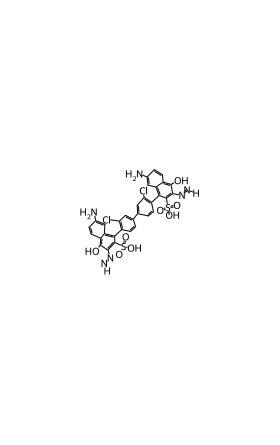 [H]/N=N/c1c(S(=O)(=O)O)c(-c2ccc(-c3ccc(-c4c(S(=O)(=O)O)c(/N=N/[H])c(O)c5ccc(N)cc45)c(Cl)c3)cc2Cl)c2cc(N)ccc2c1O